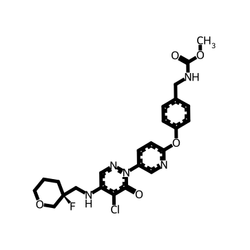 COC(=O)NCc1ccc(Oc2ccc(-n3ncc(NC[C@@]4(F)CCCOC4)c(Cl)c3=O)cn2)cc1